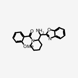 COc1ccccc1C(=O)N1CCCCC1C(N)c1nc2ccccc2o1